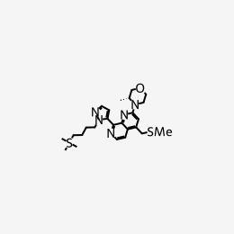 CSCc1cc(N2CCOC[C@H]2C)nc2c(-c3ccnn3CCCCS(C)(C)C)nccc12